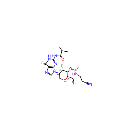 [2H]C[C@H]1OC[C@@H](n2cnc3c(=O)[nH]c(NC(=O)C(C)C)nc32)[C@H](F)C1OP(C)PCCC#N